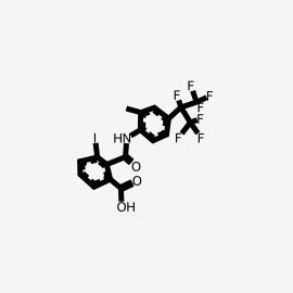 Cc1cc(C(F)(C(F)(F)F)C(F)(F)F)ccc1NC(=O)c1c(I)cccc1C(=O)O